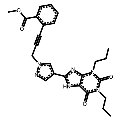 CCCn1c(=O)c2[nH]c(-c3cnn(CC#Cc4ccccc4C(=O)OC)c3)nc2n(CCC)c1=O